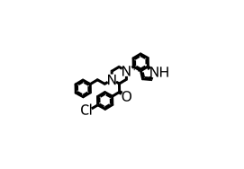 O=C(c1ccc(Cl)cc1)C1C[N+](c2cccc3[nH]ccc23)CCN1CCc1ccccc1